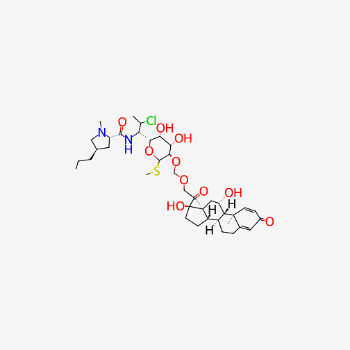 CCC[C@@H]1C[C@@H](C(=O)NC(C(C)Cl)[C@H]2O[C@H](SC)[C@H](OCOCC(=O)[C@@]3(O)CC[C@H]4[C@@H]5CCC6=CC(=O)C=C[C@]6(C)[C@H]5[C@@H](O)C[C@@]43C)[C@@H](O)[C@H]2O)N(C)C1